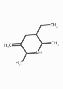 C=C1CC(CC)C(C)NC1C